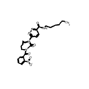 CCCCCCNC(=O)c1ccc(N2CCCN(C(=O)c3ccccc3[N+](=O)[O-])C2=O)nn1